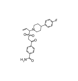 C=CC(N1CCC(c2ccc(F)cc2)CC1)S(=O)(=O)CC(=O)c1ccc(C(N)=O)cc1